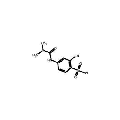 CC(C)S(=O)(=O)c1ccc(NC(=O)N(C)C)cc1C#N